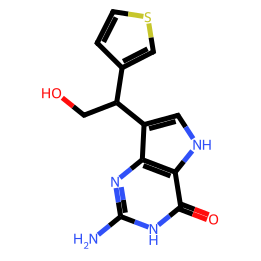 Nc1nc2c(C(CO)c3ccsc3)c[nH]c2c(=O)[nH]1